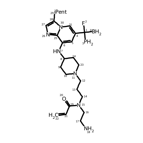 BC(F)(P)c1cc(NC2CCN(CCCN(CCN)C(=O)C=C)CC2)c2ncc(C(C)CCC)n2c1